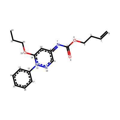 C=CCCOC(=O)N=c1cnn(-c2ccccc2)c(OCCC)c1